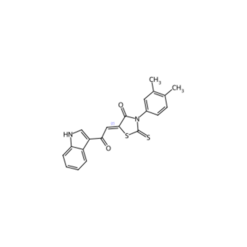 Cc1ccc(N2C(=O)/C(=C/C(=O)c3c[nH]c4ccccc34)SC2=S)cc1C